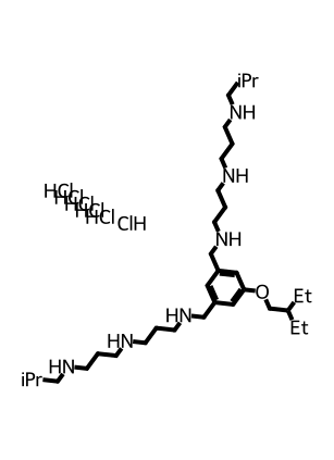 CCC(CC)COc1cc(CNCCCNCCCNCC(C)C)cc(CNCCCNCCCNCC(C)C)c1.Cl.Cl.Cl.Cl.Cl.Cl